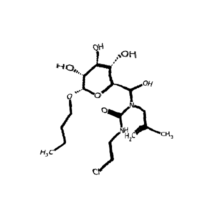 C=C(C)CN(C(=O)NCCCl)C(O)[C@H]1O[C@H](OCCCC)[C@H](O)[C@@H](O)[C@@H]1O